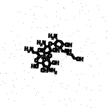 NC[C@H](O)C(=O)N[C@@H]1C[C@H](N)C(O[C@H]2O[C@H](CNCCCO)[C@@H](O)C[C@H]2N)[C@H](O)[C@H]1O[C@H]1O[C@H](CO)[C@@H](O)[C@H](N)[C@H]1O